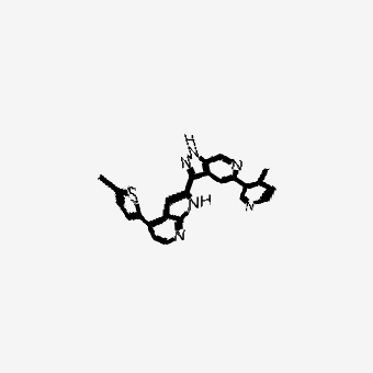 Cc1ccc(-c2ccnc3[nH]c(-c4n[nH]c5cnc(-c6cnccc6C)cc45)cc23)s1